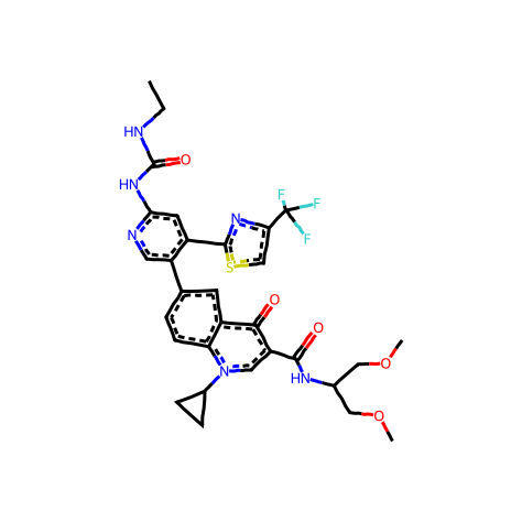 CCNC(=O)Nc1cc(-c2nc(C(F)(F)F)cs2)c(-c2ccc3c(c2)c(=O)c(C(=O)NC(COC)COC)cn3C2CC2)cn1